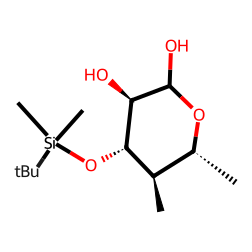 C[C@H]1[C@H](O[Si](C)(C)C(C)(C)C)[C@@H](O)C(O)O[C@@H]1C